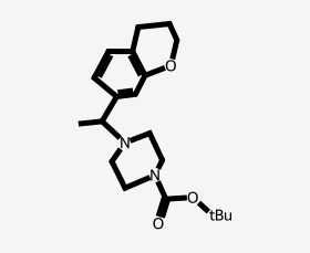 CC(c1ccc2c(c1)OCCC2)N1CCN(C(=O)OC(C)(C)C)CC1